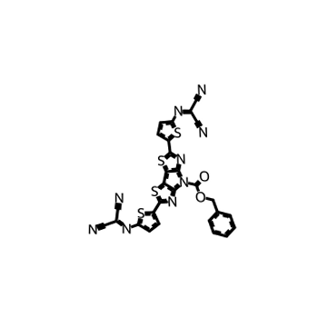 N#CC(C#N)=Nc1ccc(-c2nc3c(s2)c2sc(-c4ccc(N=C(C#N)C#N)s4)nc2n3C(=O)OCc2ccccc2)s1